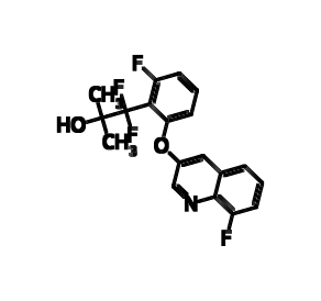 CC(C)(O)C(F)(F)c1c(F)cccc1Oc1cnc2c(F)cccc2c1